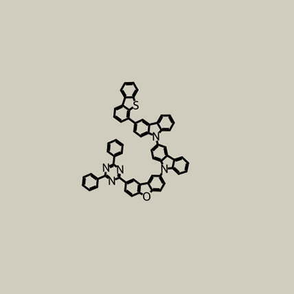 c1ccc(-c2nc(-c3ccccc3)nc(-c3ccc4oc5ccc(-n6c7ccccc7c7cc(-n8c9ccccc9c9cc(-c%10cccc%11c%10sc%10ccccc%10%11)ccc98)ccc76)cc5c4c3)n2)cc1